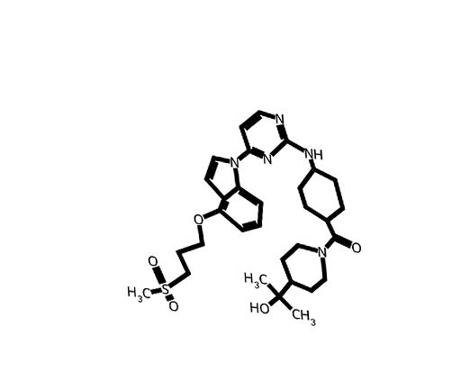 CC(C)(O)C1CCN(C(=O)C2CCC(Nc3nccc(-n4ccc5c(OCCCS(C)(=O)=O)cccc54)n3)CC2)CC1